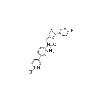 Cn1c(=O)n(Cc2cnn(-c3ccc(F)cc3)c2)c2ccc(-c3ccc(Cl)nc3)nc21